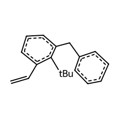 C=Cc1cccc(Cc2ccccc2)c1C(C)(C)C